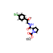 CC(C)(C)OC(=O)N1CCC[C@@H]1C(=O)NCC(=O)c1ccc(Br)cc1